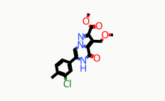 COCc1c(C(=O)OC)nn2cc(-c3ccc(C)c(Cl)c3)[nH]c(=O)c12